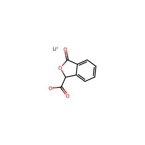 O=C1OC(C(=O)[O-])c2ccccc21.[Li+]